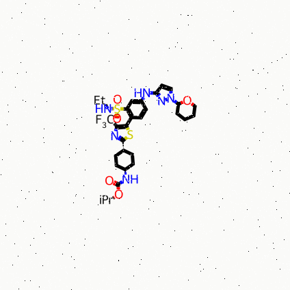 CCNS(=O)(=O)c1cc(Nc2ccn(C3CCCCO3)n2)ccc1-c1sc([C@H]2CC[C@H](NC(=O)OC(C)C)CC2)nc1C(F)(F)F